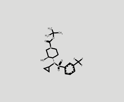 CC(C)(C)OC(=O)N1CC[C@H](N(C2CC2)S(=O)(=O)c2cccc(C(F)(F)F)c2)[C@@H](O)C1